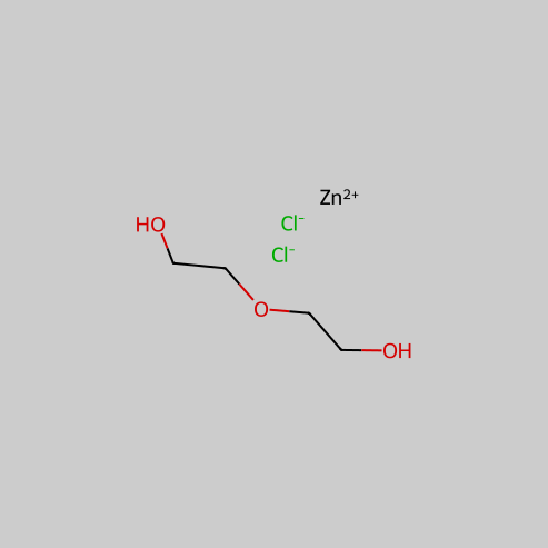 OCCOCCO.[Cl-].[Cl-].[Zn+2]